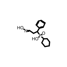 O=P(O)(C1CCCCC1)C(CC=NO)c1ccccc1